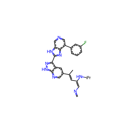 C=N/C=C(\C=C(/C)c1cnc2[nH]nc(-c3nc4c(-c5cccc(F)c5)cncc4[nH]3)c2c1)NC(C)C